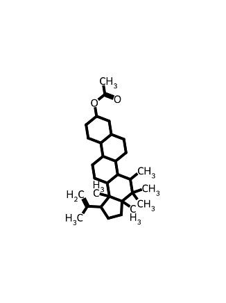 C=C(C)C1CCC2(C)C(C)(C)C(C)C3C4CCC5CC(OC(C)=O)CCC5C4CCC3C12C